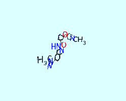 CN1CCC(Oc2cccc(C(=O)Nc3cc4cc(-c5cncn5C)ccc4cn3)c2)CC1